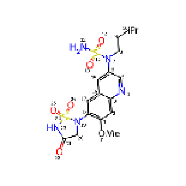 COc1cc2ncc(N(CCC(C)C)S(N)(=O)=O)cc2cc1N1CC(=O)NS1(=O)=O